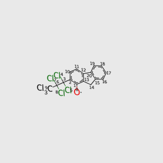 [O]c1c(C(Cl)(Cl)C(Cl)(Cl)C(Cl)(Cl)Cl)ccc2c1Cc1ccccc1-2